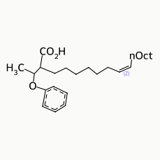 CCCCCCCC/C=C\CCCCCCC(C(=O)O)C(C)Oc1ccccc1